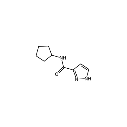 O=C(NC1CCCC1)c1cc[nH]n1